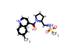 O=C(c1ccnc2ccc(C(F)(F)F)cc12)N1CCCC1CNS(=O)(=O)C(F)(F)F